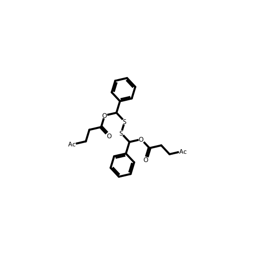 CC(=O)CCC(=O)OC(SSC(OC(=O)CCC(C)=O)c1ccccc1)c1ccccc1